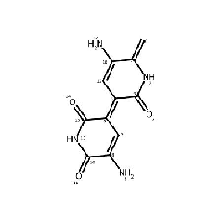 C=c1[nH]c(=O)/c(=C2\C=C(N)C(=O)NC2=O)cc1N